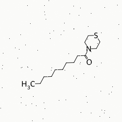 CCCCCCCCCC(=O)N1CCSCC1